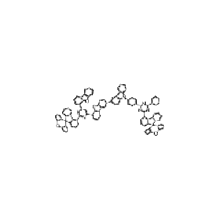 c1ccc(-c2nc(-c3ccc(-n4c5ccccc5c5cc(-c6ccc7oc8c(-c9cc(-c%10cccc%11c%10oc%10ccccc%10%11)nc(-c%10cccc%11c%10-c%10ccccc%10C%11%10c%11ccccc%11Oc%11ccccc%11%10)n9)cccc8c7c6)ccc54)cc3)nc(-c3cccc4c3-c3ccccc3C43c4ccccc4Oc4ccccc43)n2)cc1